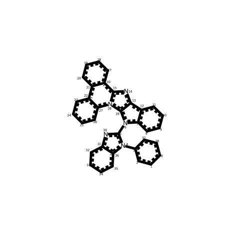 c1ccc(-n2c(-n3c4ccccc4c4nc5c6ccccc6c6ccccc6n5c43)nc3ccccc32)cc1